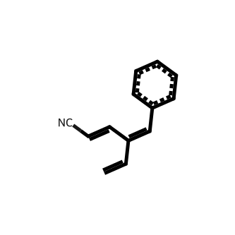 C=CC(C=CC#N)=Cc1ccccc1